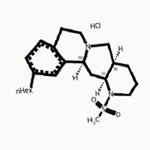 CCCCCCc1ccc2c(c1)[C@@H]1C[C@H]3[C@H](CCCN3S(C)(=O)=O)CN1CC2.Cl